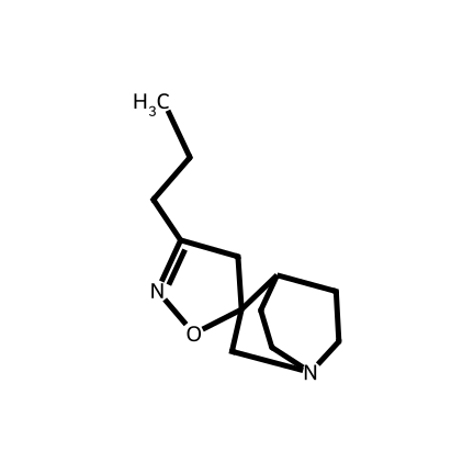 CCCC1=NOC2(C1)CN1CCC2CC1